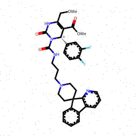 COCC1=C(C(=O)OC)[C@H](c2ccc(F)c(F)c2)N(C(=O)NCCCN2CCC3(CC2)c2ccccc2-c2cccnc23)C(=O)N1